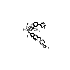 CN1CCN(Cc2cc3cc(CC(O)(CC(C)(C)c4cc(-c5cncnc5)ccc4O)C(F)(F)F)[nH]c3cn2)CC1